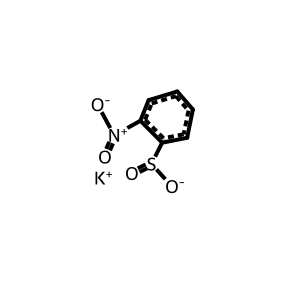 O=[N+]([O-])c1ccccc1S(=O)[O-].[K+]